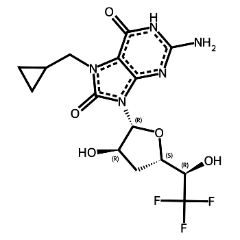 Nc1nc2c(c(=O)[nH]1)n(CC1CC1)c(=O)n2[C@@H]1O[C@H]([C@@H](O)C(F)(F)F)C[C@H]1O